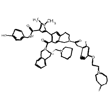 Cc1c(C(=O)Nc2ccc(O)cc2)cc(-c2cc3c(cc2C(=O)N2Cc4ccccc4C[C@H]2CN2CCCCC2)CN(C(=O)Cc2ccc(OCCN4CCC(F)CC4)cc2F)CC3)n1C